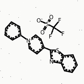 O=S(=O)([O-])C(F)(F)F.c1ccc(-[n+]2ccc(-c3nc4ccccc4s3)cc2)cc1